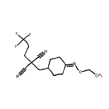 CCON=C1CCC(CC(C#N)(C#N)CCC(F)(F)F)CC1